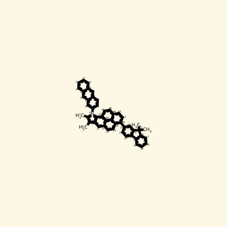 Cc1c(C)n(-c2ccc3cc4ccccc4cc3c2)c2c1cc1ccc3c(-c4ccc5c(c4)C(C)(C)c4ccccc4-5)ccc4ccc2c1c43